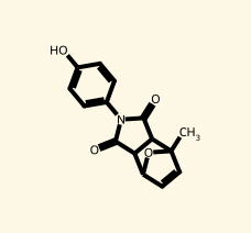 CC12C=CC(O1)C1C(=O)N(c3ccc(O)cc3)C(=O)C12